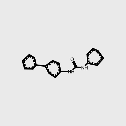 O=C(Nc1ccccc1)Nc1ccc(-c2ccccc2)cc1